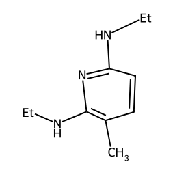 CCNc1ccc(C)c(NCC)n1